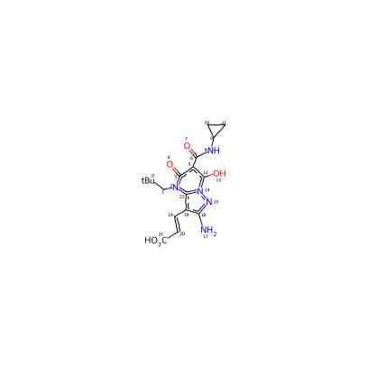 CC(C)(C)Cn1c(=O)c(C(=O)NC2CC2)c(O)n2nc(N)c(/C=C/C(=O)O)c12